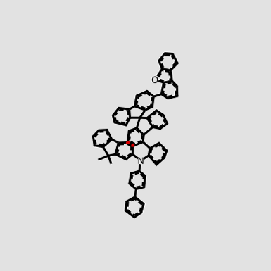 CC1(C)c2ccccc2-c2ccc(N(c3ccc(-c4ccccc4)cc3)c3ccccc3-c3cccc4c3-c3ccccc3C43c4ccccc4-c4ccc(-c5cccc6c5oc5ccccc56)cc43)cc21